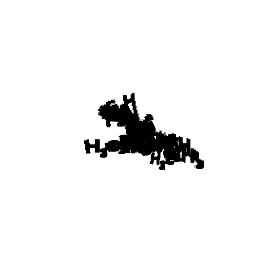 CCc1c(N2CCN(C(=O)OC(C)(C)C)CC2)c(=O)c2nc3cc(C)sc3nc2n1CC(=O)NC12CC(C(F)(F)F)(C1)C2